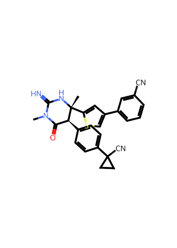 CN1C(=N)N[C@](C)(c2cc(-c3cccc(C#N)c3)cs2)[C@@H](c2ccc(C3(C#N)CC3)cc2)C1=O